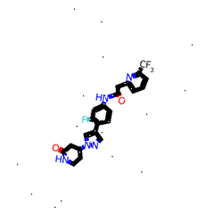 O=C1CC(n2cc(-c3ccc(NC(=O)Cc4cccc(C(F)(F)F)n4)cc3F)cn2)CCN1